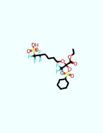 CCOC(=O)C(OCCCCC(F)(F)C(F)(F)S(=O)(=O)O)(OS(=O)(=O)C1CCCCC1)C(F)(F)F